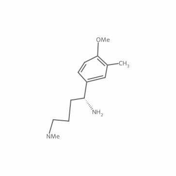 CNCCC[C@@H](N)c1ccc(OC)c(C)c1